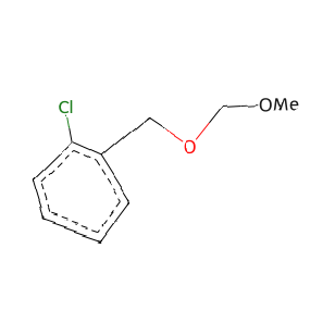 COCOCc1ccccc1Cl